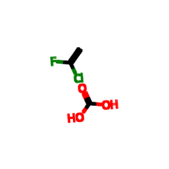 C=C(F)Cl.O=C(O)O